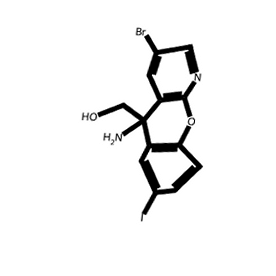 NC1(CO)c2cc(I)ccc2Oc2ncc(Br)cc21